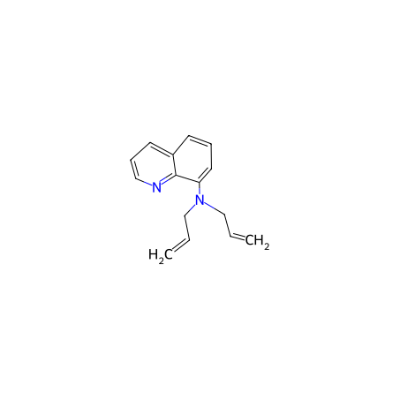 C=CCN(CC=C)c1cccc2cccnc12